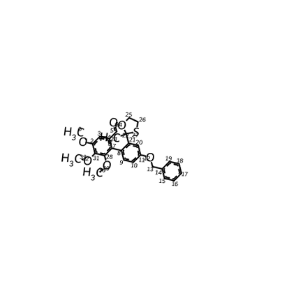 COc1cc(C=O)c(-c2ccc(OCc3ccccc3)cc2C2(C)OCCS2)c(OC)c1OC